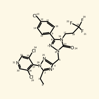 CCc1nc(Cn2nc(-c3ccc(Cl)cc3)n(CCC(F)(F)F)c2=O)nn1-c1c(Cl)cncc1Cl